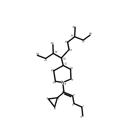 CCCC=C(C1CC1)N1CCC(C(CCC(C)CC)C(C)CC)CC1